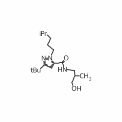 CC(C)CCCn1nc(C(C)(C)C)cc1C(=O)NCC(C)CO